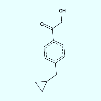 O=C(CO)c1ccc(CC2CC2)cc1